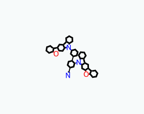 N#Cc1ccc(-c2cccc(-n3c4ccccc4c4cc5c(cc43)oc3ccccc35)c2)c(-n2c3ccccc3c3cc4c(cc32)oc2ccccc24)c1